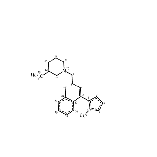 CCn1cccc1C(=CCCN1CCCC(C(=O)O)C1)c1ccccc1C